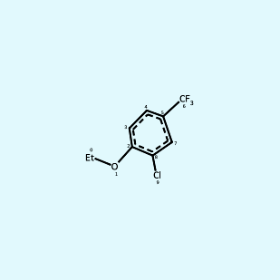 [CH2]COc1ccc(C(F)(F)F)cc1Cl